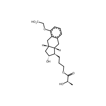 C[C@@H](O)C(=O)OCCC[C@@H]1[C@H]2Cc3cccc(OCC(=O)O)c3C[C@H]2C[C@H]1O